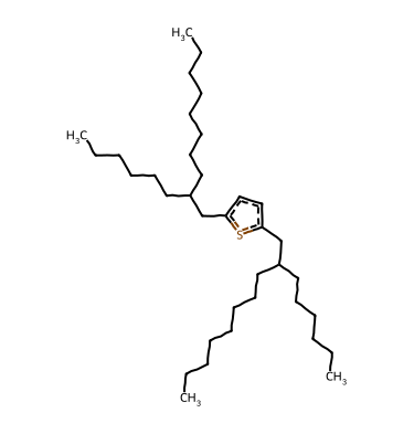 CCCCCCCCC(CCCCCC)Cc1ccc(CC(CCCCCC)CCCCCCCC)s1